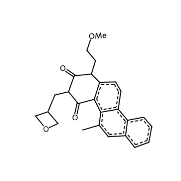 COCCC1C(=O)C(CC2COC2)C(=O)c2c1ccc1c2c(C)cc2ccccc21